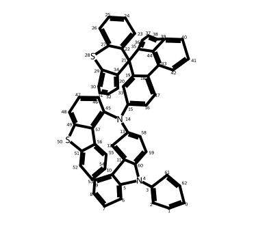 c1ccc(-n2c3ccccc3c3cc(N(c4ccc5c(c4)C4(c6ccccc6Sc6ccccc64)c4cccc6cccc-5c46)c4cccc5sc6ccccc6c45)ccc32)cc1